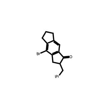 CC(C)CC1Cc2c(cc3c(c2Br)CCC3)C1=O